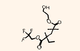 CCC(C)(CC(C)(C)C(=O)OCCO)C(=O)OCC(F)(F)F